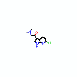 CN(C)CC(=O)c1c[nH]c2nc(Cl)ccc12